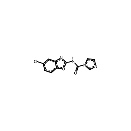 O=C(Nc1nc2cc(Cl)ccc2o1)n1ccnc1